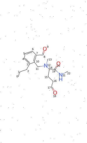 CCCc1cccc(C=O)c1CN(C)C(CCC=O)C(=O)NC